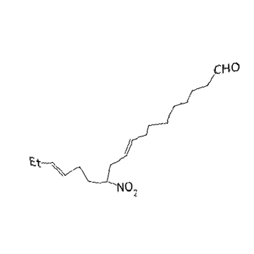 CCC=CCCC(CC=CCCCCCCCC=O)[N+](=O)[O-]